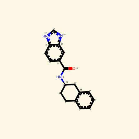 O=C(N[C@@H]1CCc2ccccc2C1)c1ccc2[nH]cnc2c1